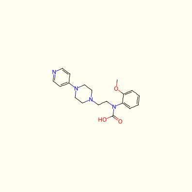 COc1ccccc1N(CCN1CCN(c2ccncc2)CC1)C(=O)O